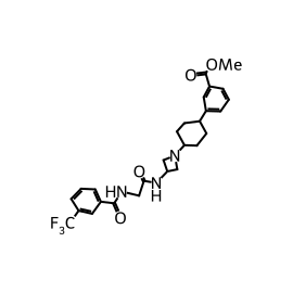 COC(=O)c1cccc(C2CCC(N3CC(NC(=O)CNC(=O)c4cccc(C(F)(F)F)c4)C3)CC2)c1